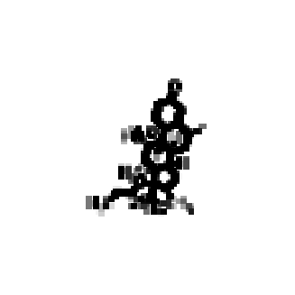 CCC(=O)O[C@@]1(C(O)=S)[C@H](C)C[C@H]2[C@@H]3C[C@H](F)C4=CC(=O)C=C[C@]4(C)C3(F)[C@@H](O)C[C@@]21C